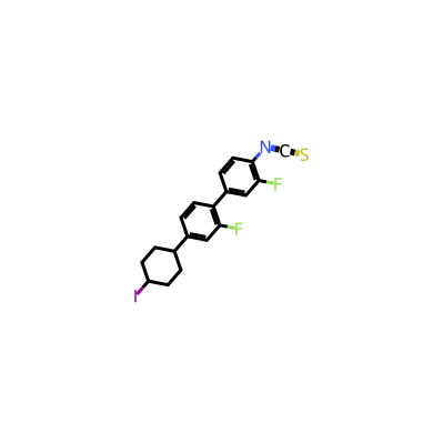 Fc1cc(-c2ccc(C3CCC(I)CC3)cc2F)ccc1N=C=S